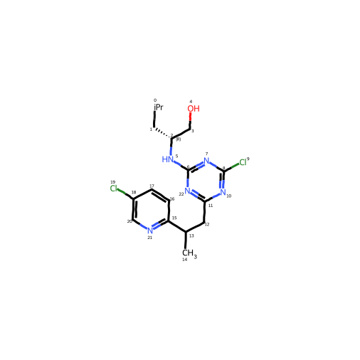 CC(C)C[C@H](CO)Nc1nc(Cl)nc(CC(C)c2ccc(Cl)cn2)n1